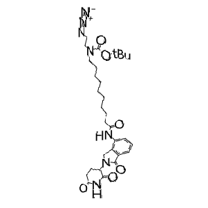 CC(C)(C)OC(=O)N(CCCCCCCCCC(=O)Nc1cccc2c1CN(C1CCC(=O)NC1=O)C2=O)CCN=[N+]=[N-]